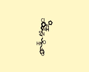 O=C(CC[C@@H]1CSC(c2cc3cc(Cl)cc(NC4CCCC4)c3[nH]2)=N1)NCCN1CCOCC1